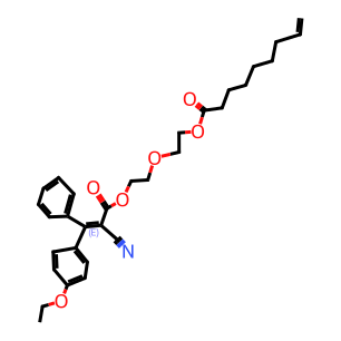 C=CCCCCCCC(=O)OCCOCCOC(=O)/C(C#N)=C(\c1ccccc1)c1ccc(OCC)cc1